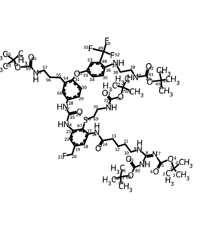 CC(C)(C)OC(=O)/N=C(/NCCCCC(=O)Nc1cc(CF)cc(NC(=O)Nc2ccc(Oc3ccc(NCCNC(=O)OC(C)(C)C)c(C(F)(F)F)c3)c(CCCNC(=O)OC(C)(C)C)c2)c1SCCNC(=O)OC(C)(C)C)NC(=O)OC(C)(C)C